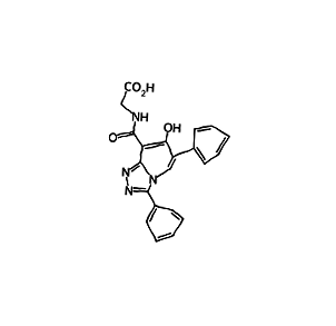 O=C(O)CNC(=O)c1c(O)c(-c2ccccc2)cn2c(-c3ccccc3)nnc12